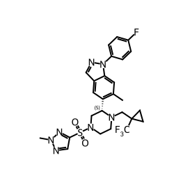 Cc1cc2c(cnn2-c2ccc(F)cc2)cc1[C@H]1CN(S(=O)(=O)c2cnn(C)n2)CCN1CC1(C(F)(F)F)CC1